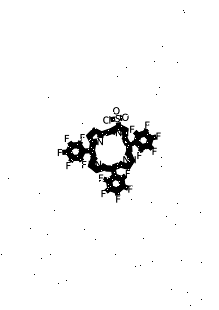 O=S(=O)(Cl)c1cc2[nH]c1c1nc(c(-c3c(F)c(F)c(F)c(F)c3F)c3ccc([nH]3)c(-c3c(F)c(F)c(F)c(F)c3F)c3ccc([nH]3)c2-c2c(F)c(F)c(F)c(F)c2F)C=C1